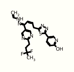 C=CN/N=C(\C=C/Cc1nnc(-c2ccc(O)nc2)s1)c1cnc(CCC(C)(F)F)nc1